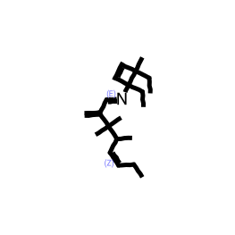 C=C(/C=N/C1(CC)C=CC1(C)CC)C(C)(C)C(C)/C=C\CC